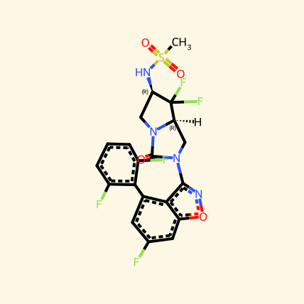 CS(=O)(=O)N[C@@H]1CN2C(=O)N(c3noc4cc(F)cc(-c5c(F)cccc5F)c34)C[C@@H]2C1(F)F